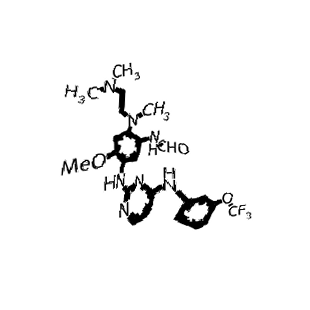 COc1cc(N(C)CCN(C)C)c(NC=O)cc1Nc1nccc(Nc2cccc(OC(F)(F)F)c2)n1